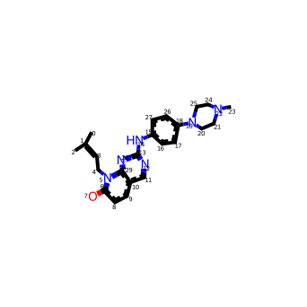 CC(C)=CCn1c(=O)ccc2cnc(Nc3ccc(N4CCN(C)CC4)cc3)nc21